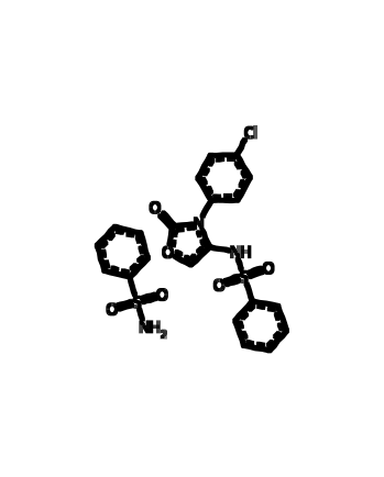 NS(=O)(=O)c1ccccc1.O=c1occ(NS(=O)(=O)c2ccccc2)n1-c1ccc(Cl)cc1